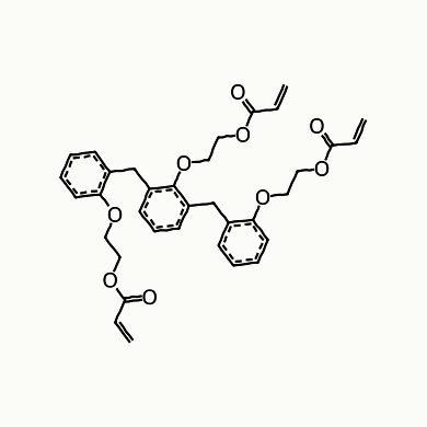 C=CC(=O)OCCOc1ccccc1Cc1cccc(Cc2ccccc2OCCOC(=O)C=C)c1OCCOC(=O)C=C